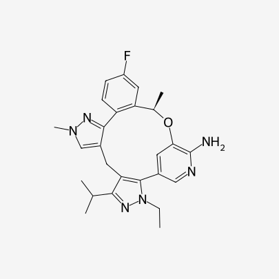 CCn1nc(C(C)C)c2c1-c1cnc(N)c(c1)O[C@H](C)c1cc(F)ccc1-c1nn(C)cc1C2